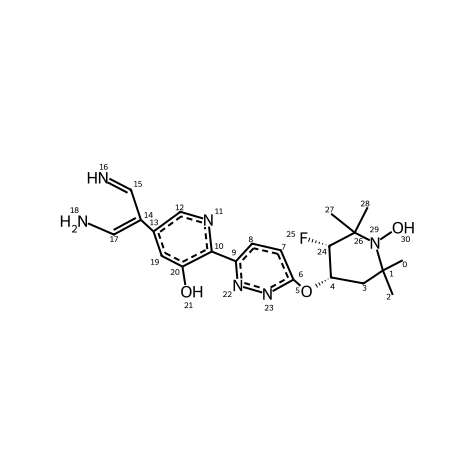 CC1(C)C[C@H](Oc2ccc(-c3ncc(/C(C=N)=C/N)cc3O)nn2)[C@H](F)C(C)(C)N1O